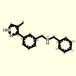 Cc1c[nH]nc1-c1cccc(CNCc2ccccc2)c1